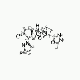 Cc1nnc(C23CC(CC(C(F)(F)F)C2)N3C(=O)Nc2ccc(Cl)c(-n3ccc(F)n3)c2)o1